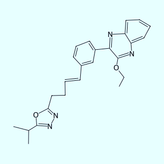 CCOc1nc2ccccc2nc1-c1cccc(/C=C/CCc2nnc(C(C)C)o2)c1